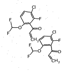 C=CC(=O)c1c(OC(F)F)ccc(Cl)c1F.C=CC(=O)c1c(OC(F)F)ccc(Cl)c1F